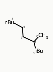 [CH2]CC(C)C(C)CCCCCC